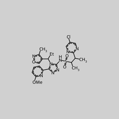 CCC(c1conc1C)n1c(NS(=O)(=O)C(C)C(C)c2ncc(Cl)cn2)nnc1-c1cccc(OC)n1